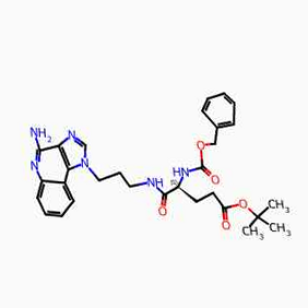 CC(C)(C)OC(=O)CC[C@H](NC(=O)OCc1ccccc1)C(=O)NCCCn1cnc2c(N)nc3ccccc3c21